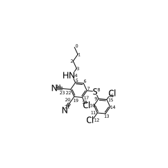 CCCCNc1cc(Sc2cc(Cl)ccc2Cl)c(Cl)c(C#N)c1C#N